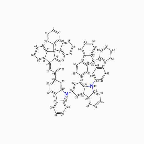 c1ccc(C2(c3ccccc3)c3ccccc3-c3cc(-c4ccc5c6ccccc6n(-c6ccc7c(c6)c6ccccc6n7-c6cccc([Si](c7ccccc7)(c7ccccc7)c7ccccc7)c6)c5c4)ccc32)cc1